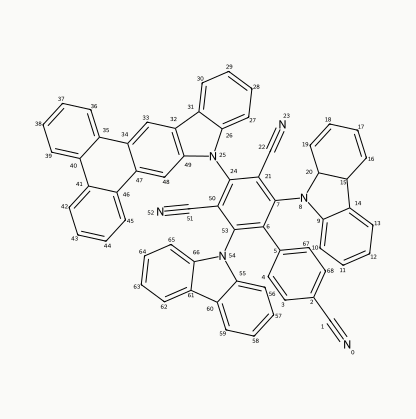 N#Cc1ccc(-c2c(N3c4ccccc4C4C=CC=CC43)c(C#N)c(-n3c4ccccc4c4cc5c6ccccc6c6ccccc6c5cc43)c(C#N)c2-n2c3ccccc3c3ccccc32)cc1